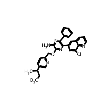 CC(CC(=O)O)c1ccc(COc2nc(-c3cc(Cl)c4ncccc4c3)c(-c3ccccc3)nc2N)nc1